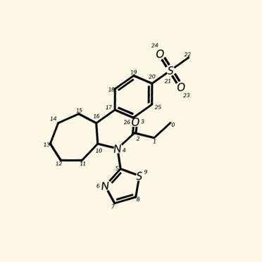 CCC(=O)N(c1nccs1)C1CCCCCC1c1ccc(S(C)(=O)=O)cc1